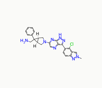 Cn1cc2c(Cl)c(-c3n[nH]c4nc(N5C[C@@H]6[C@H](C5)C6(CN)c5ccccc5)cnc34)ccc2n1